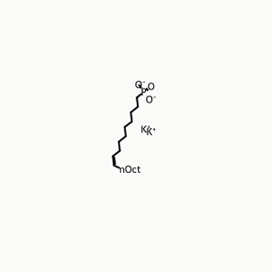 CCCCCCCC/C=C\CCCCCCCCP(=O)([O-])[O-].[K+].[K+]